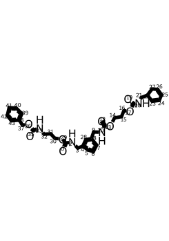 O=C(NCc1cccc(CNC(=O)OCCCOC(=O)NCC2C=CC=CC2)c1)OCCCNC(=O)OCc1ccccc1